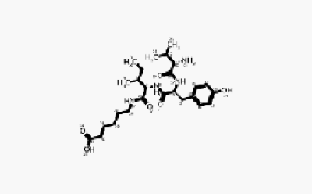 CC[C@H](C)[C@H](NC(=O)[C@H](Cc1ccc(O)cc1)NC(=O)[C@@H](N)C(C)C)C(=O)NCCCCCC(=O)O